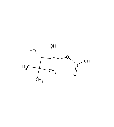 CC(=O)OC/C(O)=C(/O)C(C)(C)C